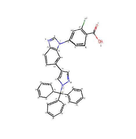 O=C(O)c1ccc(-n2cnc3ccc(-c4cnn(C(c5ccccc5)(c5ccccc5)C5C=CC=CC5)c4)cc32)cc1F